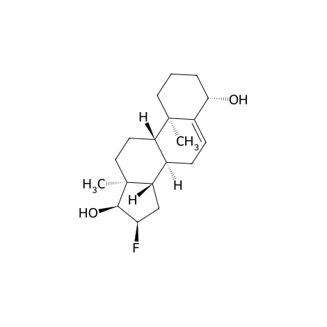 C[C@]12CC[C@H]3[C@@H](CC=C4[C@@H](O)CCC[C@@]43C)[C@@H]1C[C@@H](F)[C@H]2O